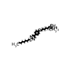 CCCCCCCCSc1ncc(-c2ccc(OCCCCCC[Si](C)(C)C)cc2)cn1